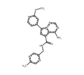 COc1cc(-c2cc(C(=O)NCc3cnc(C)cn3)c3c(N)ncnn23)ccn1